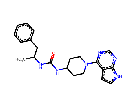 O=C(NC1CCN(c2ncnc3[nH]ccc23)CC1)NC(Cc1ccccc1)C(=O)O